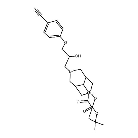 CCC(=O)OC1C2CN(CC(O)COc3ccc(C#N)cc3)CC1CN(OC(=O)OC(C)(C)C)C2